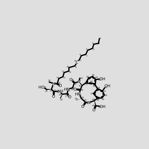 CCCCCCCCCCCCCCCC(=O)N(C)[C@H](CO)C(=O)N[C@H](C)C(=O)NCC(=O)N(C)[C@@H]1C(=O)N[C@@H](C)C(=O)N[C@H](C(=O)O)c2ccc(O)c(c2)-c2cc1ccc2O